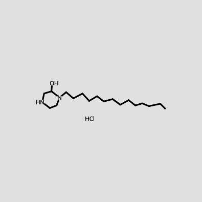 CCCCCCCCCCCCCCN1CCNCC1O.Cl